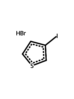 Br.Ic1ccsc1